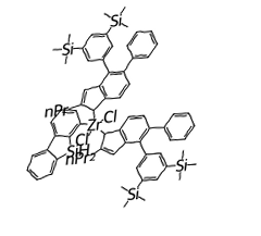 CCCC1=Cc2c(ccc(-c3ccccc3)c2-c2cc([Si](C)(C)C)cc([Si](C)(C)C)c2)[CH]1[Zr]([Cl])([Cl])([c]1cccc2c1[SiH2]c1ccccc1-2)[CH]1C(CCC)=Cc2c1ccc(-c1ccccc1)c2-c1cc([Si](C)(C)C)cc([Si](C)(C)C)c1